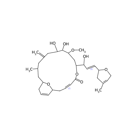 C=C1CC(C)CC2CC=CC(C/C=C\C(=O)OC(C(O)/C=C/C3CC(C)=CCO3)CC(OC)C(O)C(O)C1)O2